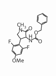 COc1cc(F)c(C2CN(C)C(=O)C2NC(=O)OCc2ccccc2)c(F)c1